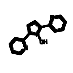 On1c(-c2ccccn2)ccc1-c1ccccn1